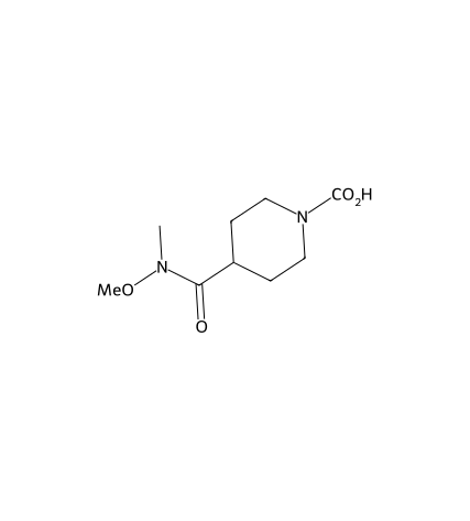 CON(C)C(=O)C1CCN(C(=O)O)CC1